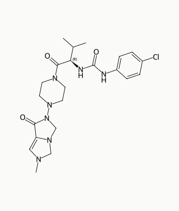 CC(C)[C@@H](NC(=O)Nc1ccc(Cl)cc1)C(=O)N1CCN(N2CN3CN(C)C=C3C2=O)CC1